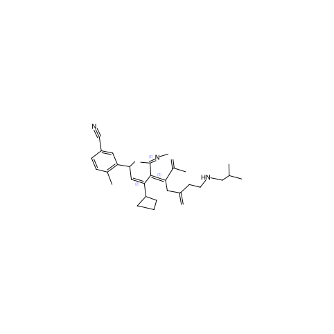 C=C(CCNCC(C)C)C/C(C(=C)C)=C(C(=C/C(C)c1cc(C#N)ccc1C)\C1CCC1)/C(C)=N\C